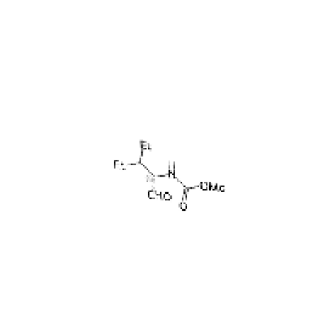 CCC(CC)[C@@H](C=O)NC(=O)OC